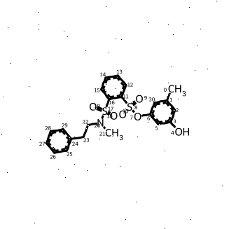 Cc1cc(O)cc(OS(=O)(=O)c2ccccc2S(=O)(=O)N(C)CCc2ccccc2)c1